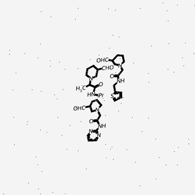 CC(C)NC(=O)C(C)N1CCCC(C=O)C1.O=CC1CCCN(CC(=O)NCc2cccs2)C1.O=CC1CCCN(CC(=O)Nc2ncccn2)C1